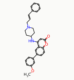 COc1cccc(-c2ccc3oc(=O)cc(NC4CCN(C/C=C/c5ccccc5)CC4)c3c2)c1